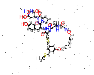 CSCc1cc2cc(c1)OCCCCCCO/N=C/C(=O)N[C@@H](C)C(=O)N[C@H](C(=O)N[C@@H](Cc1ccc(O)cc1)C(=O)N1CCC[C@H]1C(=O)N[C@@H](CC(=O)O)C(N)=O)CSC2